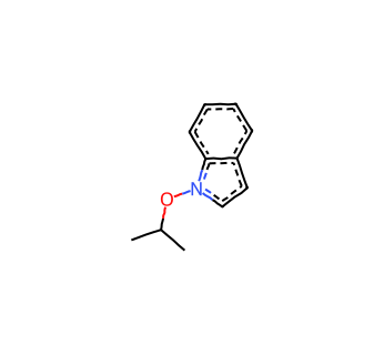 CC(C)On1ccc2ccccc21